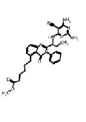 CC[C@H](Nc1nc(N)nc(N)c1C#N)c1nc2cccc(CCCCCC(=O)OC)c2c(=O)n1-c1ccccc1